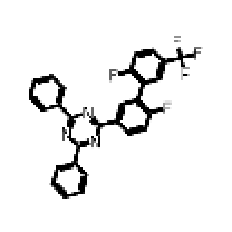 Fc1ccc(-c2nc(-c3ccccc3)nc(-c3ccccc3)n2)cc1-c1cc(C(F)(F)F)ccc1F